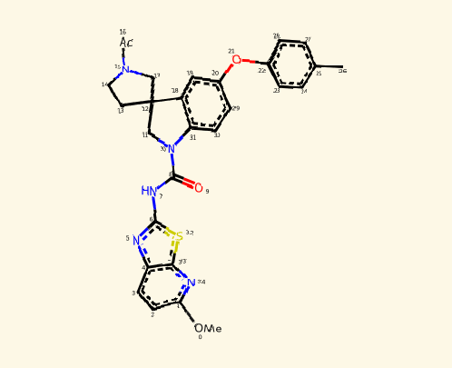 COc1ccc2nc(NC(=O)N3CC4(CCN(C(C)=O)C4)c4cc(Oc5ccc(C)cc5)ccc43)sc2n1